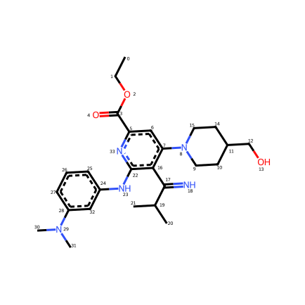 CCOC(=O)c1cc(N2CCC(CO)CC2)c(C(=N)C(C)C)c(Nc2cccc(N(C)C)c2)n1